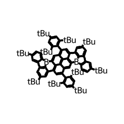 CC(C)(C)c1ccc2c(c1)-c1cc(C(C)(C)C)cc3c1B2c1cc2c(-c4c(C(C)(C)C)cc(C(C)(C)C)cc4C(C)(C)C)cc4c5c(cc6c(-c7c(C(C)(C)C)cc(C(C)(C)C)cc7C(C)(C)C)cc-3c1c6c25)B1c2ccc(C(C)(C)C)cc2-c2cc(C(C)(C)C)cc-4c21